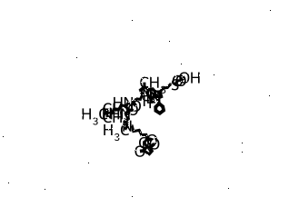 CC1=CC(CCC(=O)NC(CCCC[N+](C)(C)C)C(=O)NCCN(C)CCCCCC(=O)ON2C(=O)CCC2=O)=[N+]2C1=Cc1c(CCCSOOO)cc(-c3ccccc3)n1[B-]2(F)F